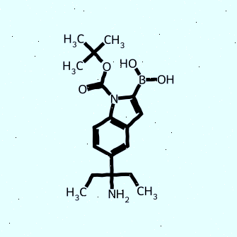 CCC(N)(CC)c1ccc2c(c1)cc(B(O)O)n2C(=O)OC(C)(C)C